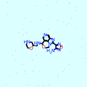 CCn1c(-c2nonc2N)nc2cncc(C(=O)NC[C@@H]3CNCCO3)c21